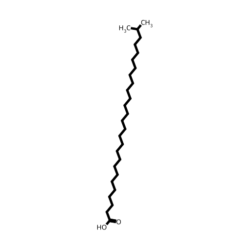 CC(C)CCCCCCCCCCCCCCCCCCCCCCCCC(=O)O